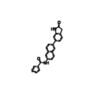 O=C1Cc2ccc(-c3ccc4cc(NC(=O)c5ccsc5)ccc4c3)cc2N1